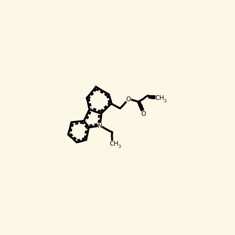 C=CC(=O)OCc1cccc2c3ccccc3n(CC)c12